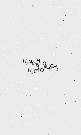 C=CC(=O)OC(C)[NH][Ir][NH2]